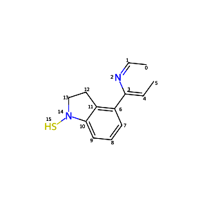 C/C=N\C(=C/C)c1cccc2c1CCN2S